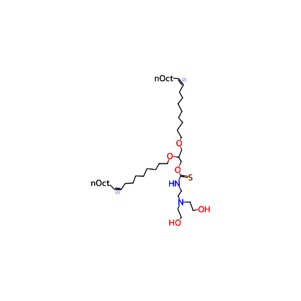 CCCCCCCC/C=C\CCCCCCCCOCC(COC(=S)NCCN(CCO)CCO)OCCCCCCCC/C=C\CCCCCCCC